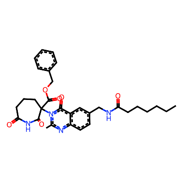 CCCCCCC(=O)NCc1ccc2nc(C)n(C3(C(=O)OCc4ccccc4)CCCC(=O)NC3=O)c(=O)c2c1